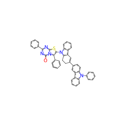 O=c1nc(-c2ccccc2)nc2sc(-n3c4c(c5ccccc53)C=C(c3ccc5c(c3)c3ccccc3n5-c3ccccc3)CC4)c(C3=C=C=CC=C3)n12